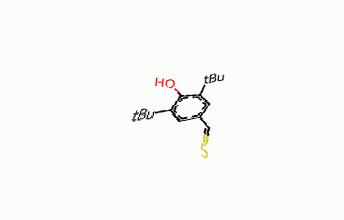 CC(C)(C)c1cc(C=S)cc(C(C)(C)C)c1O